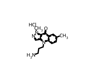 Cc1ccc2c(c1)c(=O)c1c(cnn1C)n2CCCN.Cl